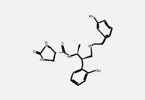 C[C@H](NC(=O)[C@@H]1CNC(=O)N1)[C@@H](CNCc1cccc(C(C)(C)C)c1)c1ccccc1O